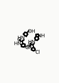 O=C1Nc2ccc(Cl)cc2C1=CNc1ccc(CO)cc1.O=C1Nc2ccc(Cl)cc2C1=CNc1ccc2[nH]ccc2c1